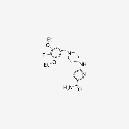 CCOc1cc(CN2CCC(Nc3ccc(C(N)=O)cn3)CC2)cc(OCC)c1F